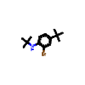 CC(C)(C)Nc1ccc(C(C)(C)C)cc1Br